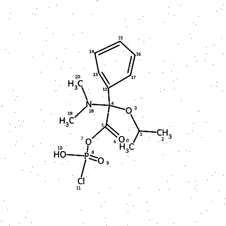 CC(C)OC(C(=O)OP(=O)(O)Cl)(c1ccccc1)N(C)C